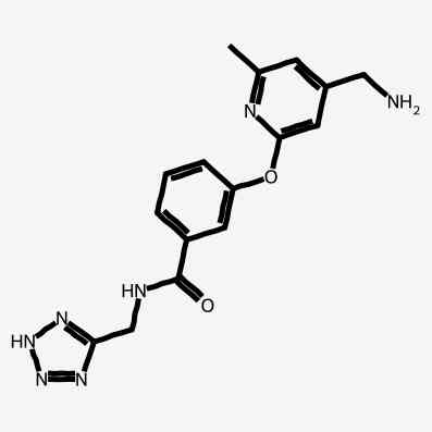 Cc1cc(CN)cc(Oc2cccc(C(=O)NCc3nn[nH]n3)c2)n1